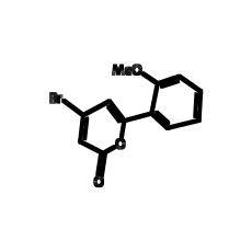 COc1ccccc1-c1cc(Br)cc(=O)o1